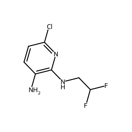 Nc1ccc(Cl)nc1NCC(F)F